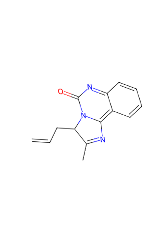 C=CCC1C(C)=Nc2c3ccccc3nc(=O)n21